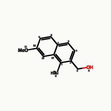 CCCCc1c(CO)ccc2ccc(OC)cc12